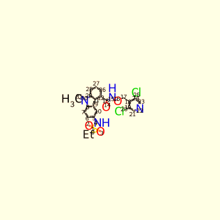 CCS(=O)(=O)Nc1ccc2c(c1)c1c(C(=O)NOCc3c(Cl)cncc3Cl)cccc1n2C